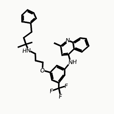 Cc1cc(Nc2cc(OCCCNC(C)(C)CCc3ccccc3)cc(C(F)(F)F)c2)c2ccccc2n1